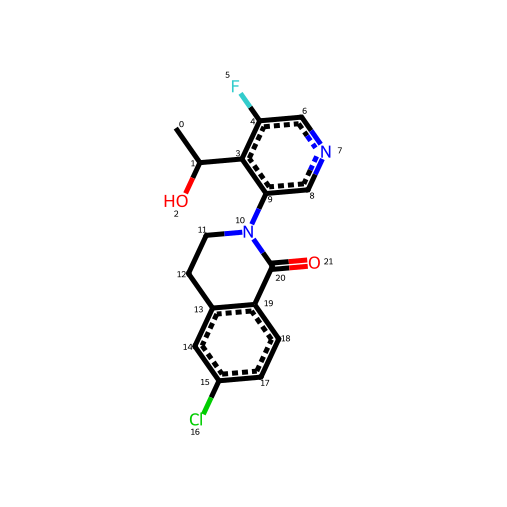 CC(O)c1c(F)cncc1N1CCc2cc(Cl)ccc2C1=O